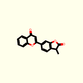 CC1C(=O)Oc2cc(-c3cc(=O)c4ccccc4o3)ccc21